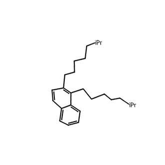 CC(C)CCCCCc1ccc2ccccc2c1CCCCCC(C)C